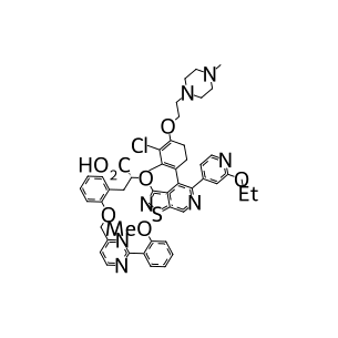 CCOc1cc(-c2ncc3snc(O[C@H](Cc4ccccc4OCc4ccnc(-c5ccccc5OC)n4)C(=O)O)c3c2C2=C(C)C(Cl)=C(OCCN3CCN(C)CC3)CC2)ccn1